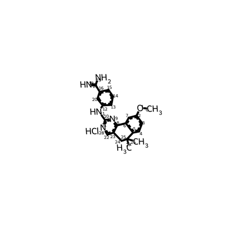 COc1ccc2c(c1)-c1nc(Nc3cccc(C(=N)N)c3)ncc1CC2(C)C.Cl